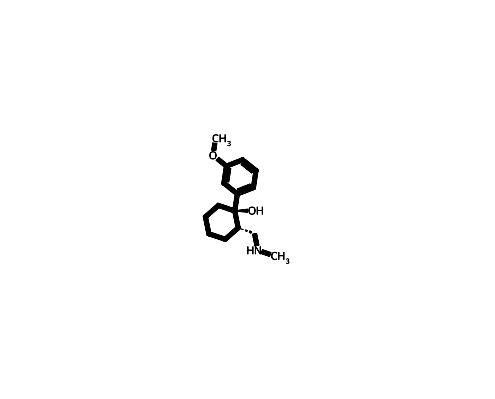 CNC[C@@H]1CCCC[C@]1(O)c1cccc(OC)c1